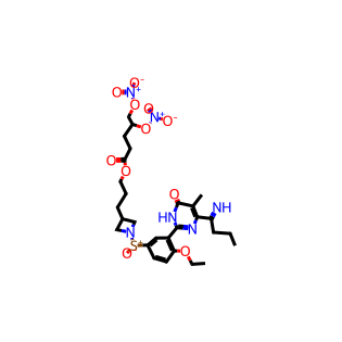 CCCC(=N)c1nc(-c2cc([S+]([O-])N3CC(CCCOC(=O)CCC(CO[N+](=O)[O-])O[N+](=O)[O-])C3)ccc2OCC)[nH]c(=O)c1C